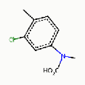 Cc1ccc(N(C)C(=O)O)cc1Cl